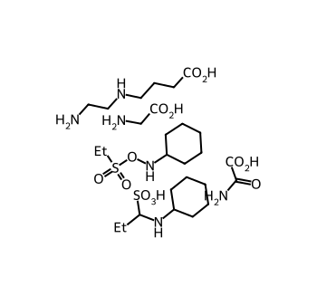 CCC(NC1CCCCC1)S(=O)(=O)O.CCS(=O)(=O)ONC1CCCCC1.NC(=O)C(=O)O.NCC(=O)O.NCCNCCCC(=O)O